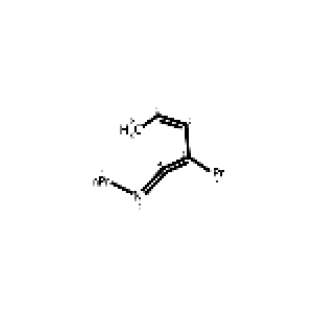 C/C=C\C(=C=NCCC)C(C)C